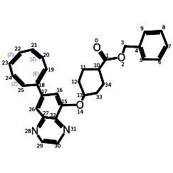 O=C(OCc1ccccc1)C1CCC(Oc2cc(C3=C/C=C\C=C/C=C\3)cc3nccnc23)CC1